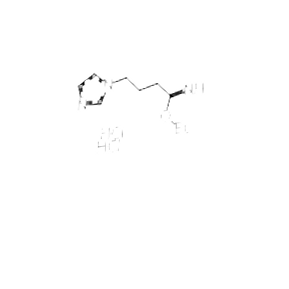 CCOC(=N)CCCn1ccnc1.Cl.Cl